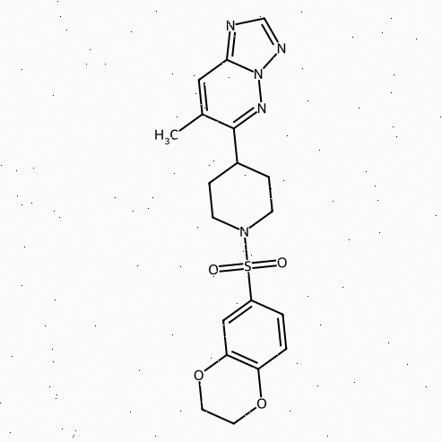 Cc1cc2ncnn2nc1C1CCN(S(=O)(=O)c2ccc3c(c2)OCCO3)CC1